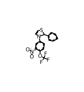 O=[N+]([O-])c1cc(N2C=CSC2c2ccccc2)ccc1OC(F)(F)F